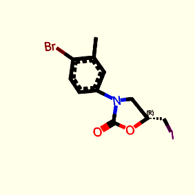 Cc1cc(N2C[C@H](CI)OC2=O)ccc1Br